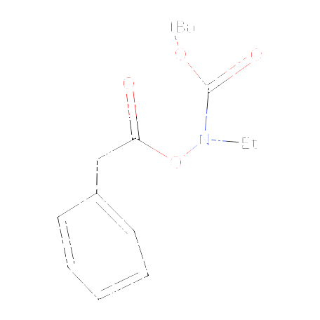 CCN(OC(=O)Cc1ccccc1)C(=O)OC(C)(C)C